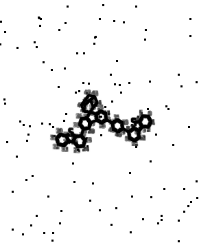 c1ccc2c(c1)sc1c(-c3ccc(-c4ccc5c(c4)-c4cc(-c6cccc7c6sc6ccccc67)ccc4C54C5CC6CC(C5)CC4C6)cc3)cccc12